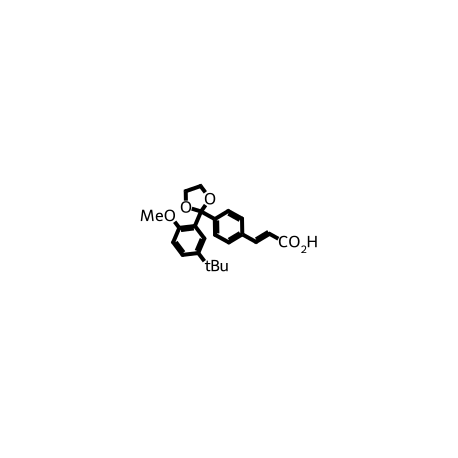 COc1ccc(C(C)(C)C)cc1C1(c2ccc(C=CC(=O)O)cc2)OCCO1